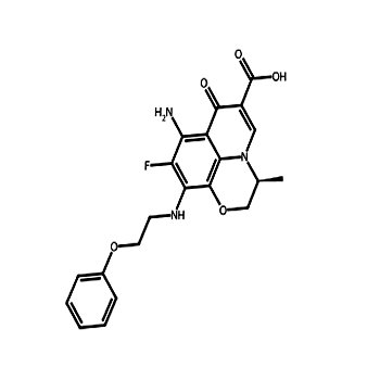 C[C@H]1COc2c(NCCOc3ccccc3)c(F)c(N)c3c(=O)c(C(=O)O)cn1c23